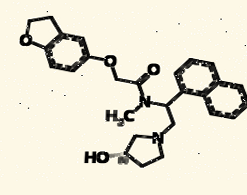 CN(C(=O)COc1ccc2c(c1)CCO2)C(CN1CC[C@H](O)C1)c1cccc2ccccc12